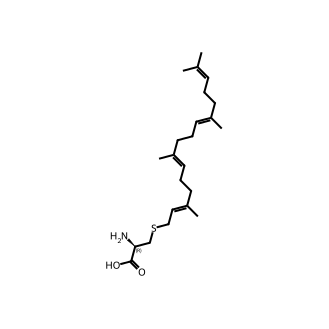 CC(C)=CCCC(C)=CCCC(C)=CCCC(C)=CCSC[C@H](N)C(=O)O